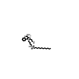 CCCCCCCCCCCCS(=O)(=O)NCCCCn1c(CCOC)nc2c(N)nc3ccccc3c21